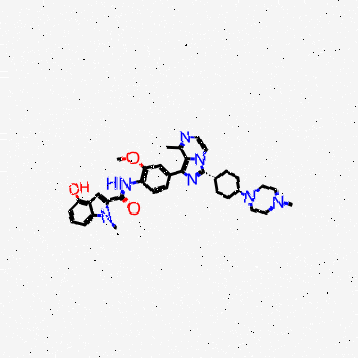 COc1cc(-c2nc([C@H]3CC[C@H](N4CCN(C)CC4)CC3)n3ccnc(C)c23)ccc1NC(=O)c1cc2c(O)cccc2n1C